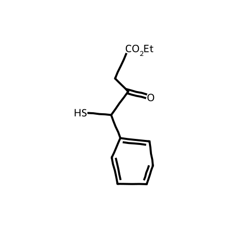 CCOC(=O)CC(=O)C(S)c1ccccc1